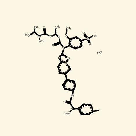 COc1cc(S(C)(=O)=O)ccc1N(C(=O)OC(C)OC(=O)[C@@H](N)C(C)C)c1nc2ccc(-c3ccc(NC(=O)[C@H](C)c4ccc(F)cc4)cc3)cn2n1.Cl